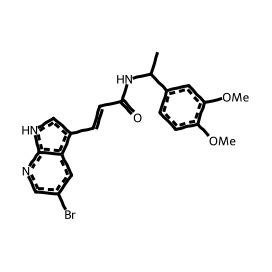 COc1ccc(C(C)NC(=O)/C=C/c2c[nH]c3ncc(Br)cc23)cc1OC